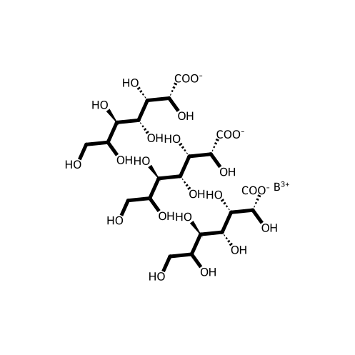 O=C([O-])[C@H](O)[C@@H](O)[C@H](O)[C@H](O)C(O)CO.O=C([O-])[C@H](O)[C@@H](O)[C@H](O)[C@H](O)C(O)CO.O=C([O-])[C@H](O)[C@@H](O)[C@H](O)[C@H](O)C(O)CO.[B+3]